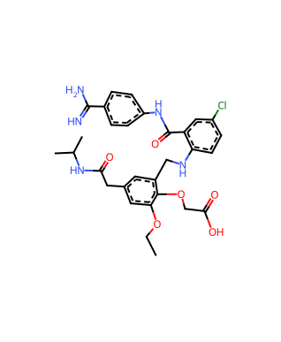 CCOc1cc(CC(=O)NC(C)C)cc(CNc2ccc(Cl)cc2C(=O)Nc2ccc(C(=N)N)cc2)c1OCC(=O)O